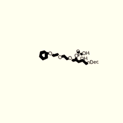 CCCCCCCCCCCCCC(COCCOCCOc1ccccc1)OP(=O)(O)O